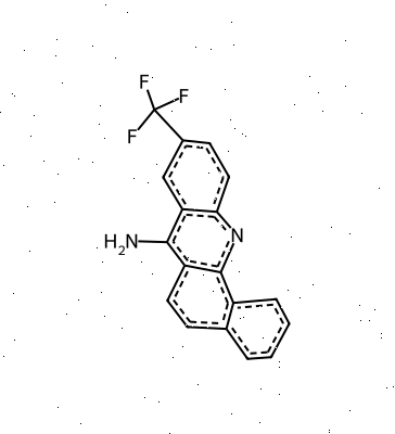 Nc1c2cc(C(F)(F)F)ccc2nc2c1ccc1ccccc12